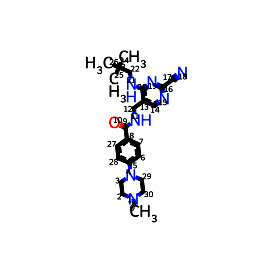 CN1CCN(c2ccc(C(=O)NCc3cnc(C#N)nc3NCC(C)(C)C)cc2)CC1